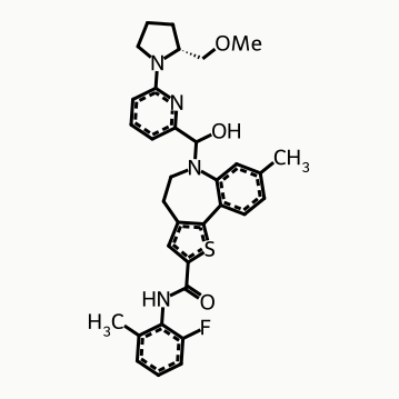 COC[C@H]1CCCN1c1cccc(C(O)N2CCc3cc(C(=O)Nc4c(C)cccc4F)sc3-c3ccc(C)cc32)n1